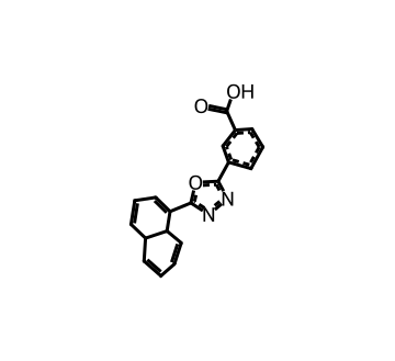 O=C(O)c1cccc(-c2nnc(C3=CC=CC4C=CC=CC34)o2)c1